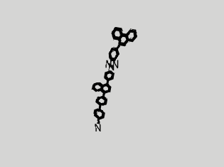 N#Cc1ccc(-c2ccc(-c3ccc(-c4ccc(-n5nc6ccc(-c7cc8ccccc8c8ccccc78)cc6n5)cc4)c4ccccc34)cc2)cc1